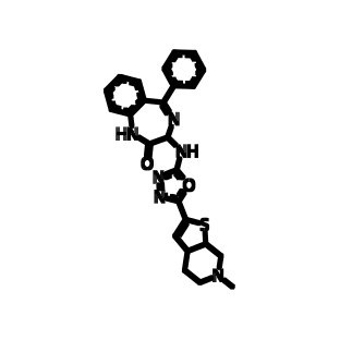 CN1CCC2C=C(c3nnc(NC4N=C(c5ccccc5)c5ccccc5NC4=O)o3)SC2C1